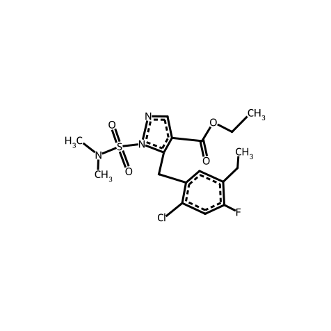 CCOC(=O)c1cnn(S(=O)(=O)N(C)C)c1Cc1cc(CC)c(F)cc1Cl